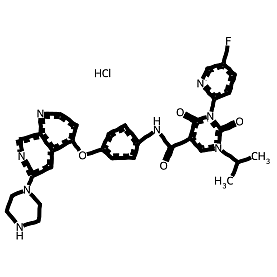 CC(C)n1cc(C(=O)Nc2ccc(Oc3ccnc4cnc(N5CCNCC5)cc34)cc2)c(=O)n(-c2ccc(F)cn2)c1=O.Cl